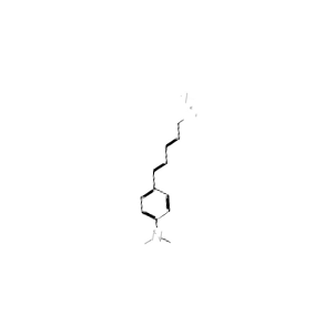 [2H]OCC=CC=Cc1ccc(N(C)C)cc1